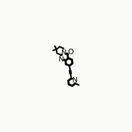 Cc1cccc(C#Cc2ccc3c(=O)n4c(nc3c2)CC(C)(C)CC4)n1